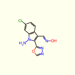 Nn1c(-c2nnco2)c(/C=N/O)c2ccc(Cl)cc21